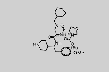 COc1ccc(CC(NC(=O)[C@H](CSCC2CCCCC2)NC(=O)[C@@H]2CSCN2C(=O)OC(C)(C)C)C2CCNCC2)cc1